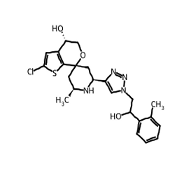 Cc1ccccc1C(O)Cn1cc([C@@H]2C[C@]3(C[C@H](C)N2)OC[C@@H](O)c2cc(Cl)sc23)nn1